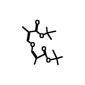 CC(=COC=C(C)C(=O)OC(C)(C)C)C(=O)OC(C)(C)C